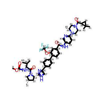 COC(=O)N[C@H](C(=O)N1C[C@@H](C)C[C@H]1c1nc(-c2ccc(-c3ccc(C(=O)Nc4ccc(N5CCN(C(=O)C6CC6(C)C)C[C@H]5C)nc4)cc3OC(F)(F)F)cc2)c[nH]1)C(C)C